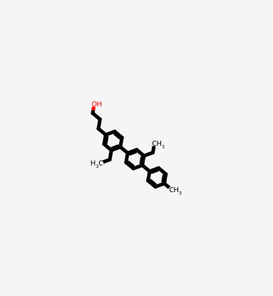 CCc1cc(CCCO)ccc1-c1ccc(-c2ccc(C)cc2)c(CC)c1